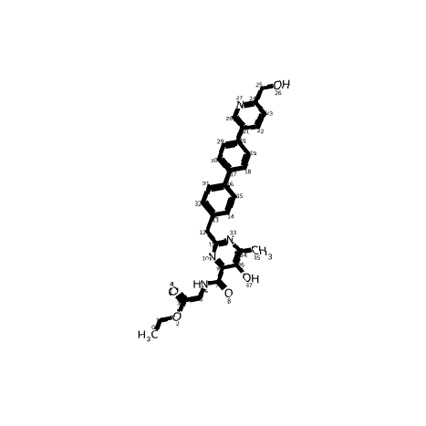 CCOC(=O)CNC(=O)c1nc(Cc2ccc(-c3ccc(-c4ccc(CO)nc4)cc3)cc2)nc(C)c1O